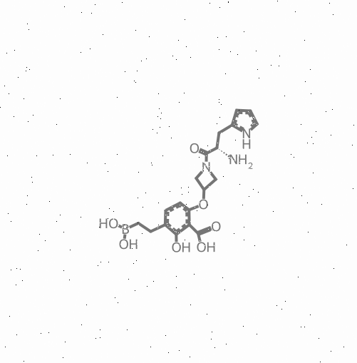 N[C@@H](Cc1ccc[nH]1)C(=O)N1CC(Oc2ccc(CCB(O)O)c(O)c2C(=O)O)C1